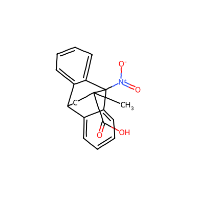 CC1(C(=O)O)CC2c3ccccc3C1([N+](=O)[O-])c1ccccc12